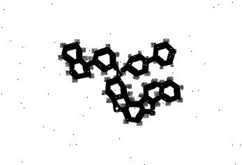 c1ccc(-c2ccc(N(c3cccc(-c4cccc5ccccc45)c3)c3ccc4oc5ccc6sc7c8ccccc8ccc7c6c5c4c3)cc2)cc1